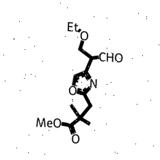 CCOCC(C=O)c1coc(CC(C)(C)C(=O)OC)n1